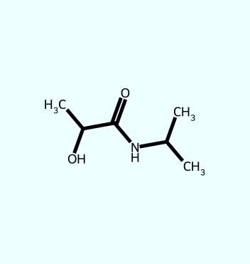 CC(C)NC(=O)C(C)O